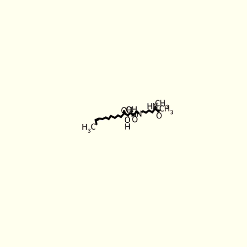 CC/C=C\CCCCCCCC(O)C(O)C(O)C(=O)CNCCCCC(NC)C(C)=O